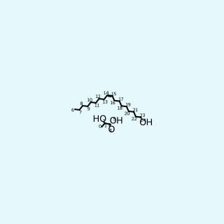 CC(O)C(=O)O.CCCCCCCC/C=C\CCCCCCCCO